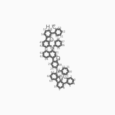 Cc1ccccc1-c1cccc2c1oc1c(N(c3ccccc3)c3ccc4c(c3)oc3cc(N(c5ccccc5)c5cccc6c5oc5c(-c7ccccc7C)cccc56)c5ccccc5c34)cccc12